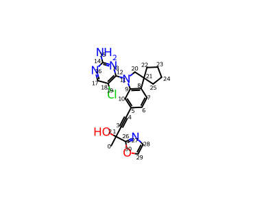 CC(O)(C#Cc1ccc2c(c1)N(c1nc(N)ncc1Cl)CC21CCCC1)c1ncco1